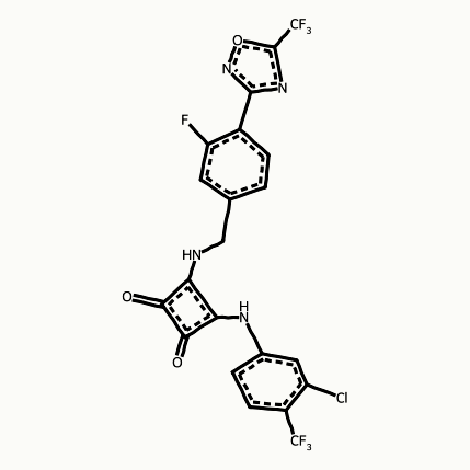 O=c1c(NCc2ccc(-c3noc(C(F)(F)F)n3)c(F)c2)c(Nc2ccc(C(F)(F)F)c(Cl)c2)c1=O